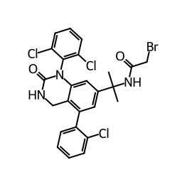 CC(C)(NC(=O)CBr)c1cc(-c2ccccc2Cl)c2c(c1)N(c1c(Cl)cccc1Cl)C(=O)NC2